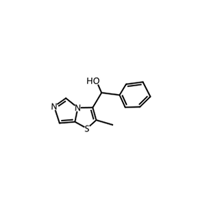 Cc1sc2cncn2c1C(O)c1ccccc1